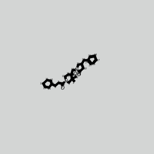 CC1(C)CN(C(=O)CCC2CCCCC2)CCC1(O)CN1CC(Cc2ccccc2)CC1=O